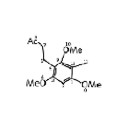 COc1cc(OC)c(CCC(C)=O)c(OC)c1C